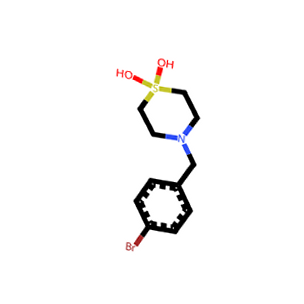 OS1(O)CCN(Cc2ccc(Br)cc2)CC1